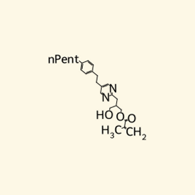 C=C(C)C(=O)OCC(CO)Cc1ncc(CCc2ccc(CCCCC)cc2)cn1